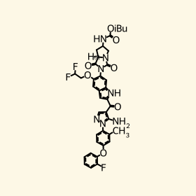 Cc1cc(Oc2ccccc2F)ccc1-n1ncc(C(=O)c2cc3cc(OCC(F)F)c(N4C(=O)[C@@H]5CC(NC(=O)OCC(C)C)CN5C4=O)cc3[nH]2)c1N